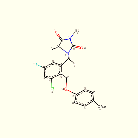 CCN1C(=O)C(C)N(C(C)c2cc(F)cc(Cl)c2COc2ccc(OC)cc2)C1=O